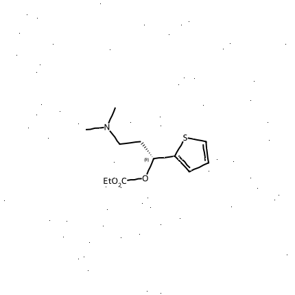 CCOC(=O)O[C@H](CCN(C)C)c1cccs1